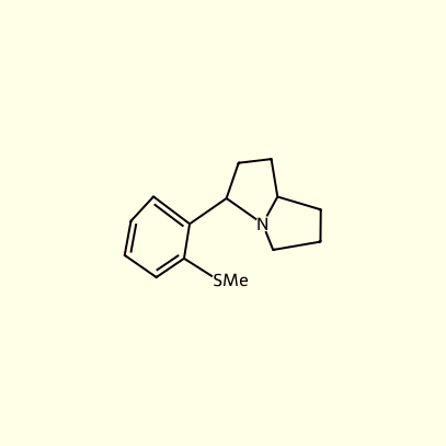 CSc1ccccc1C1CCC2CCCN21